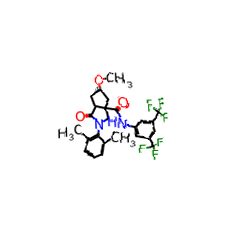 CO[C@@H]1CC2C(=O)N(c3c(C)cccc3C)CC2(C(=O)Nc2cc(C(F)(F)F)cc(C(F)(F)F)c2)C1